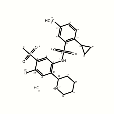 CS(=O)(=O)c1cc(NS(=O)(=O)c2cc(C(=O)O)ccc2C2CC2)c(C2CCCCN2)cc1Cl.Cl